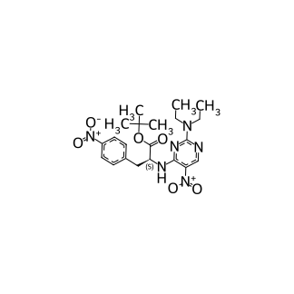 CCN(CC)c1ncc([N+](=O)[O-])c(N[C@@H](Cc2ccc([N+](=O)[O-])cc2)C(=O)OC(C)(C)C)n1